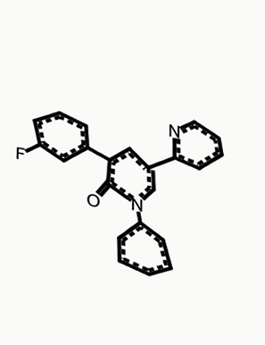 O=c1c(-c2cccc(F)c2)cc(-c2ccccn2)cn1-c1ccccc1